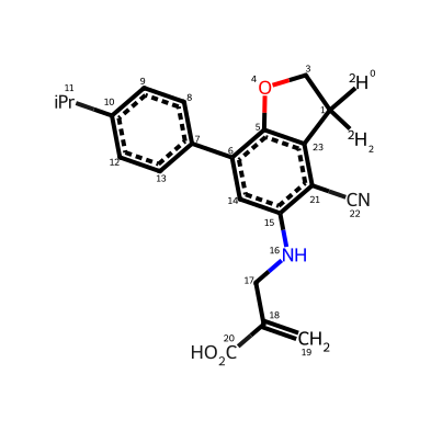 [2H]C1([2H])COc2c(-c3ccc(C(C)C)cc3)cc(NCC(=C)C(=O)O)c(C#N)c21